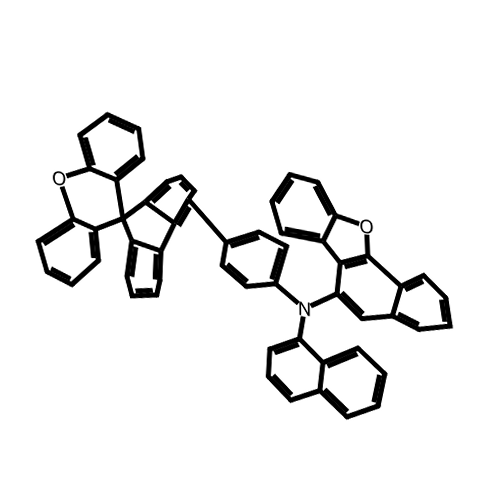 c1ccc2c(c1)Oc1ccccc1C21c2ccccc2-c2c(-c3ccc(N(c4cccc5ccccc45)c4cc5ccccc5c5oc6ccccc6c45)cc3)cccc21